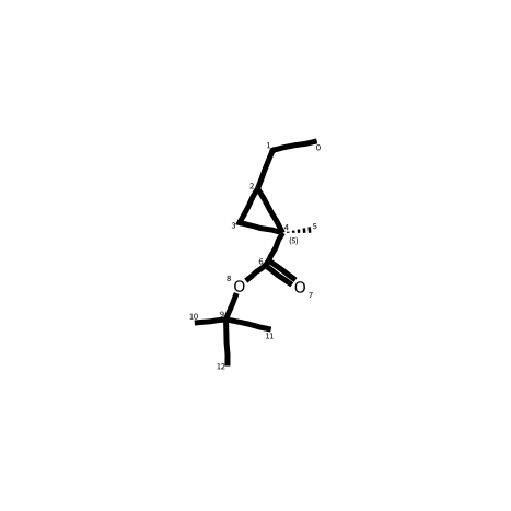 CCC1C[C@]1(C)C(=O)OC(C)(C)C